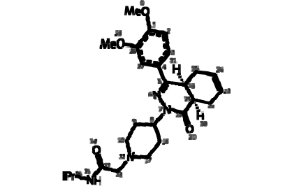 COc1ccc(C2=NN(C3CCN(CC(=O)NC(C)C)CC3)C(=O)[C@@H]3CC=CC[C@H]23)cc1OC